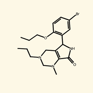 CCCOc1ccc(Br)cc1C1NC(=O)C2=C1CN(CCC)CN2C